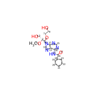 CO[C@H](CO)[C@@H](OCCO)n1cnc2c(NC(=O)c3ccccc3)ncnc21